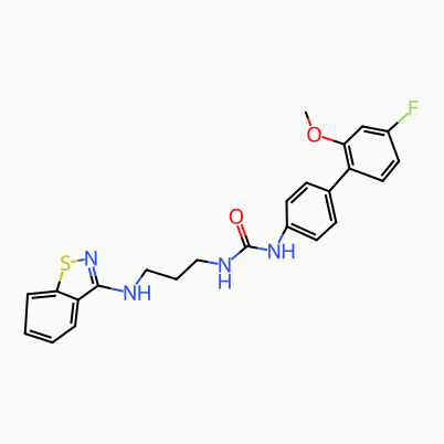 COc1cc(F)ccc1-c1ccc(NC(=O)NCCCNc2nsc3ccccc23)cc1